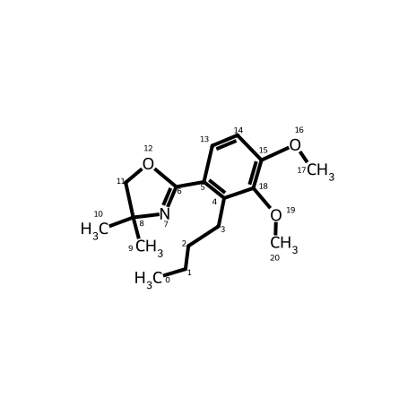 CCCCc1c(C2=NC(C)(C)CO2)ccc(OC)c1OC